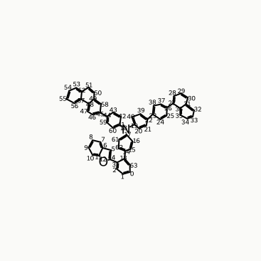 c1ccc(-c2cc3ccccc3o2)c(-c2ccc(N(c3ccc(-c4ccc(-c5cccc6ccccc56)cc4)cc3)c3ccc(-c4ccc5c(ccc6ccccc65)c4)cc3)cc2)c1